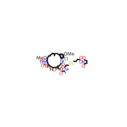 COc1cc2cc(c1Cl)N(C)C(=O)CC(COC(=O)[C@H](C)N(C)C(CCSSCCCC(=O)ON1C(=O)CCC1=O)C(F)(F)F)[C@]1(C)O[C@H]1[C@H](C)[C@@H]1C[C@@](O)(NC(=O)O1)[C@H](OC)/C=C/C=C(\C)C2